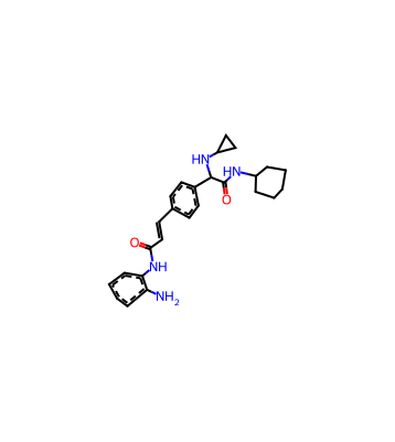 Nc1ccccc1NC(=O)C=Cc1ccc(C(NC2CC2)C(=O)NC2CCCCC2)cc1